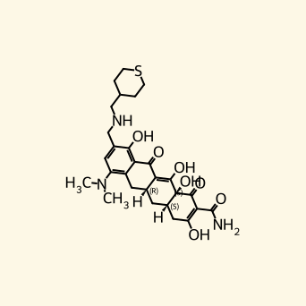 CN(C)c1cc(CNCC2CCSCC2)c(O)c2c1C[C@H]1C[C@H]3CC(O)=C(C(N)=O)C(=O)[C@@]3(O)C(O)=C1C2=O